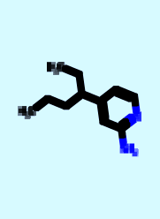 CCCC(CC)c1ccnc(N)c1